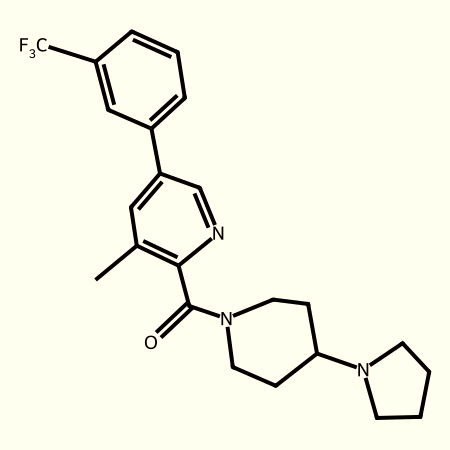 Cc1cc(-c2cccc(C(F)(F)F)c2)cnc1C(=O)N1CCC(N2CCCC2)CC1